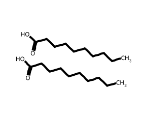 CCCCCCCCCC(=O)O.CCCCCCCCCC(=O)O